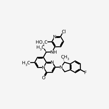 Cc1cc([C@@H](C)Nc2ccc(Cl)nc2C(=O)O)c2nc(N3Cc4cc(F)ccc4[C@H]3C)cc(=O)n2c1